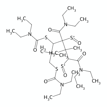 CCN(CC)C(=O)SCC(C)(C)C(SC(=O)N(CC)CC)C([S+]=O)(C(=O)N(CC)CC)C(C)(C)C([S+]=O)C(=O)N(CC)CC